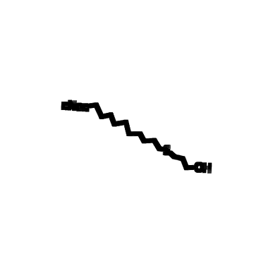 CCCCCCCCCCCCCCCCCCCSCCCO